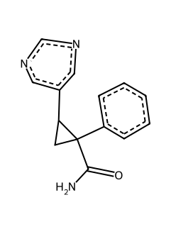 NC(=O)C1(c2ccccc2)CC1c1cncnc1